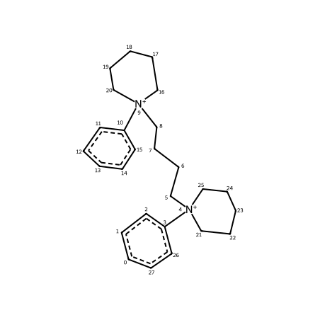 c1ccc([N+]2(CCCC[N+]3(c4ccccc4)CCCCC3)CCCCC2)cc1